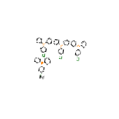 Clc1ccc(P(c2ccccc2)c2ccccc2)cc1.Clc1ccc(P(c2ccccc2)c2ccccc2)cc1.Clc1ccc(P(c2ccccc2)c2ccccc2)cc1.Clc1ccc(P(c2ccccc2)c2ccccc2)cc1.[Pd]